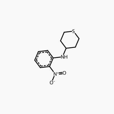 O=[N+]([O-])c1ccccc1NC1CCSCC1